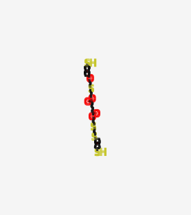 O=C(CCCCC(=O)OCCCSCCCSC1CC2CC1C1CC(S)CC21)OCCCSCCCOC1CC2CC1C1CC(S)CC21